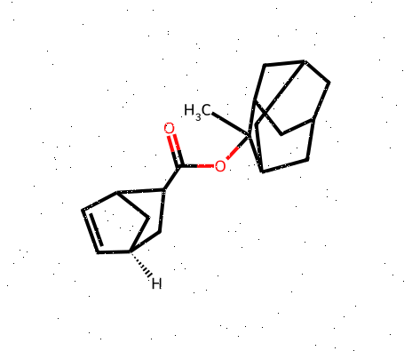 CC1(OC(=O)C2C[C@H]3C=CC2C3)C2CC3CC(C2)CC1C3